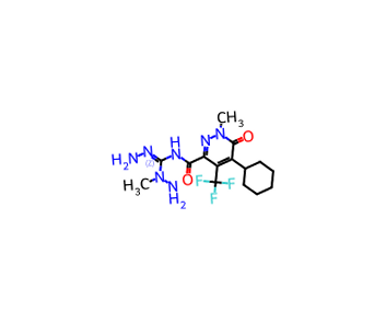 CN(N)/C(=N\N)NC(=O)c1nn(C)c(=O)c(C2CCCCC2)c1C(F)(F)F